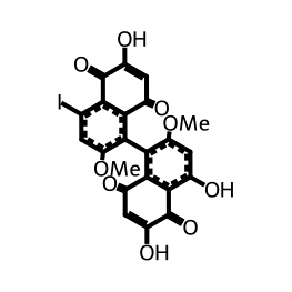 COc1cc(O)c2c(c1-c1c(OC)cc(I)c3c1C(=O)C=C(O)C3=O)C(=O)C=C(O)C2=O